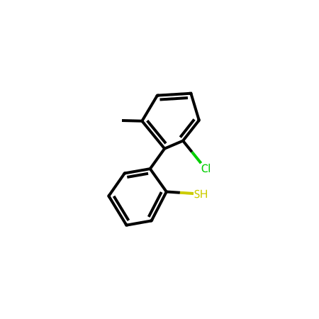 Cc1cccc(Cl)c1-c1ccccc1S